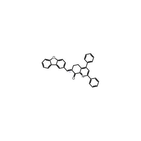 O=C1/C(=C/c2ccc3oc4ccccc4c3c2)CCc2c(-c3ccccc3)cc(-c3ccccc3)nc21